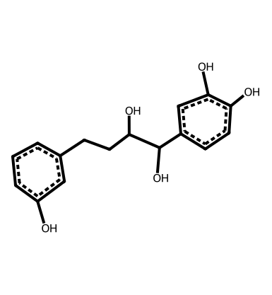 Oc1cccc(CCC(O)C(O)c2ccc(O)c(O)c2)c1